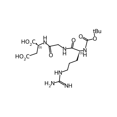 CC(C)(C)OC(=O)N[C@@H](CCCNC(=N)N)C(=O)NCC(=O)N[C@@H](CC(=O)O)C(=O)O